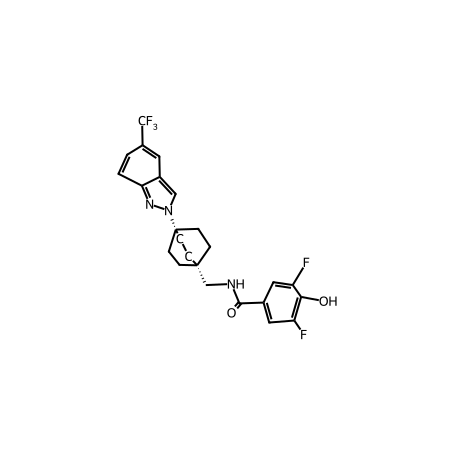 O=C(NC[C@]12CC[C@](n3cc4cc(C(F)(F)F)ccc4n3)(CC1)CC2)c1cc(F)c(O)c(F)c1